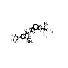 CN(C)[C@@H]1C[C@@H](C(N)=O)N(C(=O)Nc2nc3c(s2)-c2nc(C(C)(C)C)sc2CC3)C1